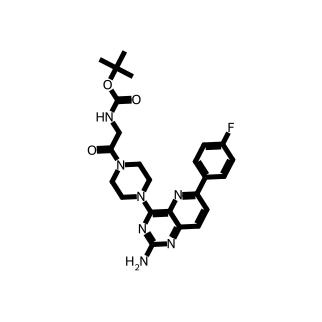 CC(C)(C)OC(=O)NCC(=O)N1CCN(c2nc(N)nc3ccc(-c4ccc(F)cc4)nc23)CC1